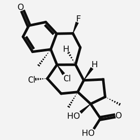 C[C@H]1C[C@H]2[C@@H]3C[C@H](F)C4=CC(=O)C=C[C@]4(C)[C@@]3(Cl)[C@@H](Cl)C[C@]2(C)[C@@]1(O)C(=O)O